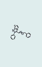 C(=N\OCc1ccccc1)/c1c(-c2ccccc2)nc2sccn12